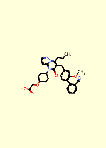 CCCc1c(Cc2ccc(-c3ccccc3C#N)c(OC)c2)c(=O)n(C2CCC(OCC(=O)O)CC2)c2ccnn12